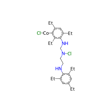 CCc1cc(CC)c(NCCN(Cl)CNc2c(CC)cc(CC)[c]([Co][Cl])c2CC)c(CC)c1